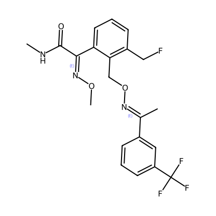 CNC(=O)/C(=N/OC)c1cccc(CF)c1CO/N=C(\C)c1cccc(C(F)(F)F)c1